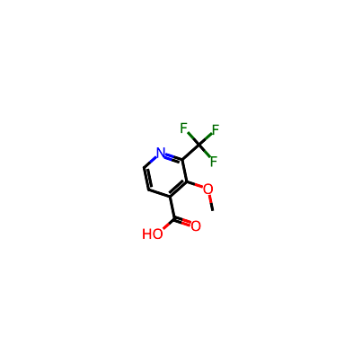 COc1c(C(=O)O)ccnc1C(F)(F)F